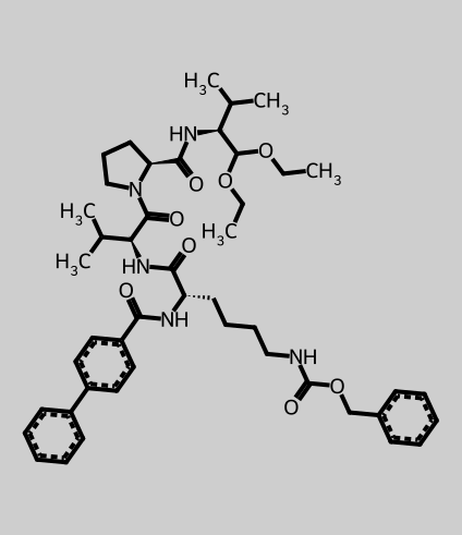 CCOC(OCC)[C@@H](NC(=O)[C@@H]1CCCN1C(=O)[C@@H](NC(=O)[C@H](CCCCNC(=O)OCc1ccccc1)NC(=O)c1ccc(-c2ccccc2)cc1)C(C)C)C(C)C